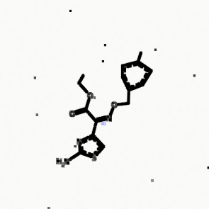 CCOC(=O)/C(=N\OCc1ccc(C)cc1)c1csc(N)n1